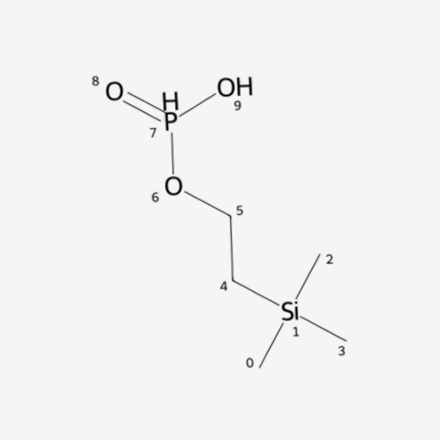 C[Si](C)(C)CCO[PH](=O)O